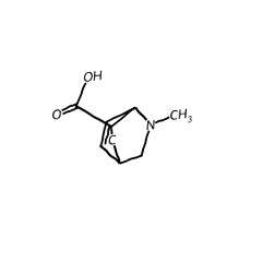 CN1CC2C=CC1C(C(=O)O)C2